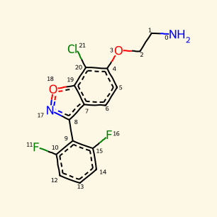 NCCOc1ccc2c(-c3c(F)cccc3F)noc2c1Cl